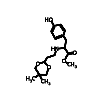 COC(=O)C(Cc1ccc(O)cc1)NCCC1OCC(C)(C)CO1